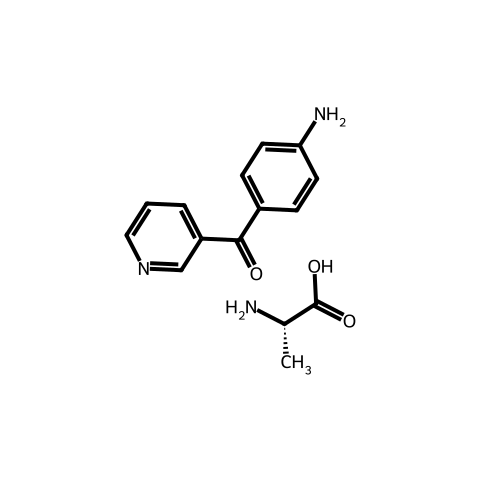 C[C@H](N)C(=O)O.Nc1ccc(C(=O)c2cccnc2)cc1